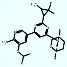 CC1C(c2nc(-c3cnc(N)c(OC(F)F)c3)cc(N3C[C@@H]4CC[C@H]3CO4)n2)C1(F)F